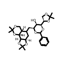 CC1(C)OC[C@@H]2C(C[C@@H]3OC(c4ccccc4)O[C@H]([C@H]4COC(C)(C)O4)[C@@H]3O)C[C@H]3OC(C)(C)O[C@H]3[C@@H]2O1